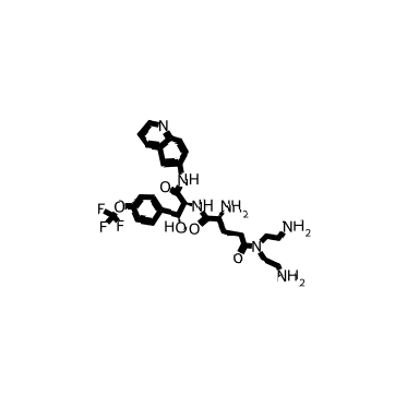 NCCN(CCN)C(=O)CC[C@H](N)C(=O)N[C@H](C(=O)Nc1ccc2ncccc2c1)[C@H](O)c1ccc(OC(F)(F)F)cc1